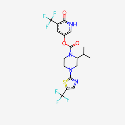 CC(C)C1CN(c2ncc(C(F)(F)F)s2)CCN1C(=O)Oc1c[nH]c(=O)c(C(F)(F)F)c1